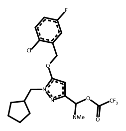 CNC(OC(=O)C(F)(F)F)c1cc(OCc2cc(F)ccc2Cl)n(CC2CCCC2)n1